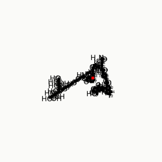 CC[C@@]1(O)C(=O)OCc2c1cc1n(c2=O)Cc2c-1nc1cc(F)c(C)c3c1c2[C@@H](NC(=O)OCc1ccc(NC(=O)[C@H](CCCNC(N)=O)NC(=O)[C@@H](NC(=O)[C@H](CCCCNC(=O)CCOCCOCCOCCOCCN(C[C@H](O)[C@@H](O)[C@H](O)[C@H](O)CO)C[C@H](O)[C@@H](O)[C@H](O)[C@H](O)CO)NC(=O)CCCCCN2C(=O)C=CC2=O)C(C)C)cc1)CC3